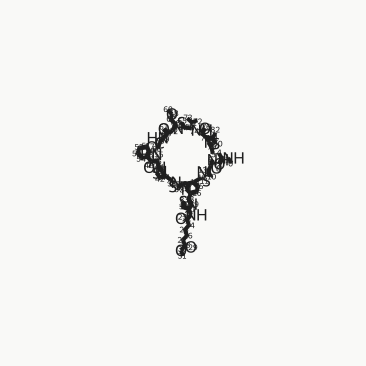 CNC(=O)C[C@@H]1NC(=O)c2csc(n2)-c2ccc(-c3nc(NC(=O)CCCCC(=O)OC)cs3)nc2-c2csc(n2)-c2csc(n2)[C@H]([C@@H](O)c2ccccc2)NC(=O)CNC(=O)c2nc(sc2COC)[C@@H](C(C)C)NC(=O)c2nc1sc2C